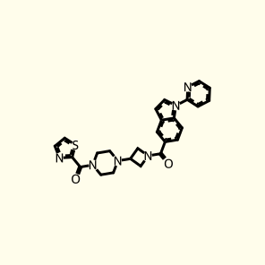 O=C(c1ccc2c(ccn2-c2ccccn2)c1)N1CC(N2CCN(C(=O)c3nccs3)CC2)C1